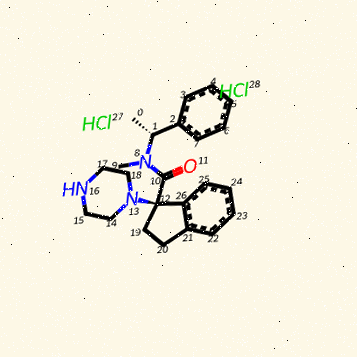 C[C@H](c1ccccc1)N(C)C(=O)[C@@]1(N2CCNCC2)CCc2ccccc21.Cl.Cl